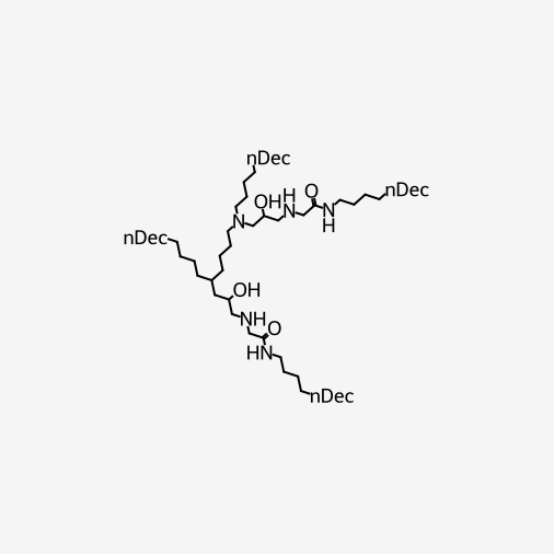 CCCCCCCCCCCCCCNC(=O)CNCC(O)CC(CCCCCCCCCCCCCC)CCCCN(CCCCCCCCCCCCCC)CC(O)CNCC(=O)NCCCCCCCCCCCCCC